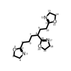 C(CC1=NCCO1)CC(CCC1=NCCO1)C1=NCCO1